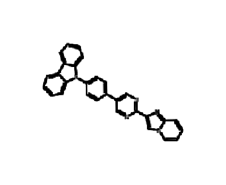 c1ccc2c(c1)c1ccccc1n2-c1ccc(-c2cnc(-c3cn4ccccc4n3)nc2)cc1